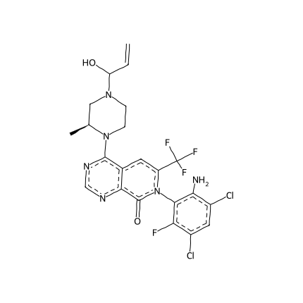 C=CC(O)N1CCN(c2ncnc3c(=O)n(-c4c(N)c(Cl)cc(Cl)c4F)c(C(F)(F)F)cc23)[C@@H](C)C1